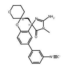 [C-]#[N+]c1cccc(-c2ccc3c(c2)[C@]2(C[C@@]4(CCCOC4)O3)N=C(N)N(C)C2=O)c1